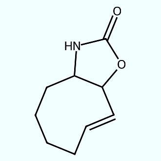 O=C1NC2CCCC/C=C/C2O1